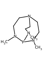 CN1CCN2CCN(C)P1N(C)CC2